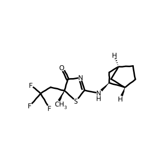 C[C@]1(CC(F)(F)F)SC(N[C@H]2C[C@H]3CC[C@H]2C3)=NC1=O